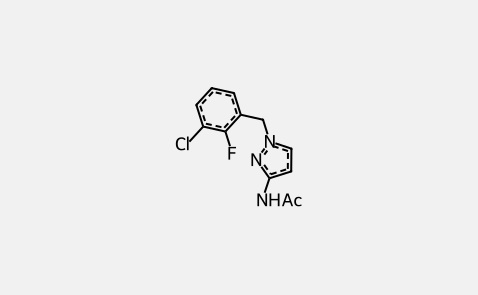 CC(=O)Nc1ccn(Cc2cccc(Cl)c2F)n1